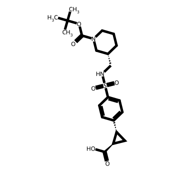 CC(C)(C)OC(=O)N1CCC[C@H](CNS(=O)(=O)c2ccc([C@@H]3C[C@H]3C(=O)O)cc2)C1